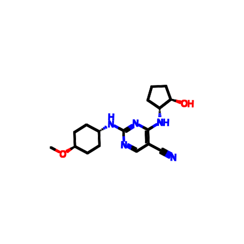 CO[C@H]1CC[C@H](Nc2ncc(C#N)c(N[C@@H]3CCC[C@H]3O)n2)CC1